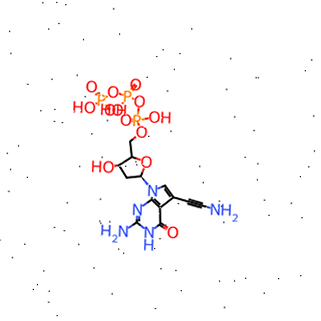 NC#Cc1cn([C@H]2C[C@@H](O)C(COP(=O)(O)OP(=O)(O)OP(=O)(O)O)O2)c2nc(N)[nH]c(=O)c12